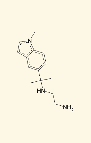 Cn1ccc2cc(C(C)(C)NCCN)ccc21